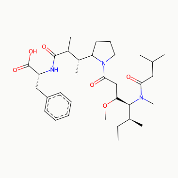 CC[C@H](C)[C@@H](C(CC(=O)N1CCCC1[C@H](C)C(C)C(=O)N[C@H](Cc1ccccc1)C(=O)O)OC)N(C)C(=O)CC(C)C